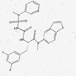 CN(C(=O)[C@H](Cc1cc(F)cc(F)c1)NC(=O)NS(=O)(=O)N(C)c1cccnc1)c1ccc2sccc2c1